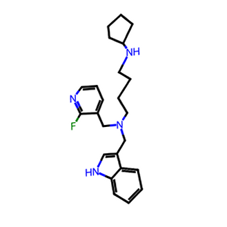 Fc1ncccc1CN(CCCCNC1CCCC1)Cc1c[nH]c2ccccc12